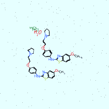 COc1ccc2sc(Nc3ccc(OCCN4CCCC4)cc3)nc2c1.COc1ccc2sc(Nc3ccc(OCCN4CCCC4)cc3)nc2c1.Cl.Cl.O